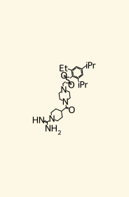 CCc1cc(C(C)C)cc(C(C)C)c1S(=O)(=O)CN1CCN(C(=O)C2CCN(C(=N)N)CC2)CC1